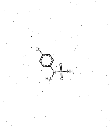 CCc1ccc(N(C)S(N)(=O)=O)cc1